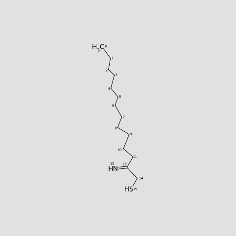 CCCCCCCCCCCCC(=N)CS